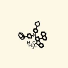 CC1(C)c2ccccc2-c2c(-c3cccc4ccccc34)cc(N(c3ccc(C4CCCCC4)cc3)c3ccc(C4C5CC6CC(C5)CC4C6)cc3)cc21